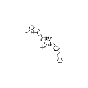 CCc1ccccc1NC(=O)COC(=O)NNC(=O)[C@H](Cc1ccc(OCc2ccccc2)cc1)NC(=O)OC(C)(C)C